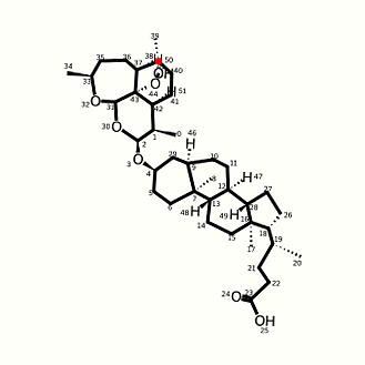 C[C@H]1[C@@H](O[C@@H]2CC[C@@]3(C)[C@H](CC[C@@H]4[C@@H]3CC[C@]3(C)[C@@H]([C@H](C)CCC(=O)O)CC[C@@H]43)C2)OC2O[C@@H](C)CC[C@H]3[C@H](C)CC[C@@H]1[C@@]23OO